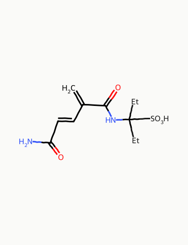 C=C(C=CC(N)=O)C(=O)NC(CC)(CC)S(=O)(=O)O